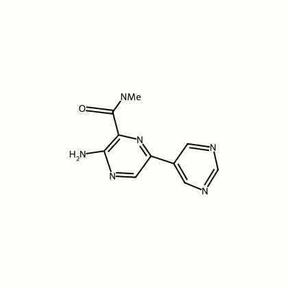 CNC(=O)c1nc(-c2cncnc2)cnc1N